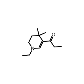 CCC(=O)C1=CN(CC)CCC1(C)C